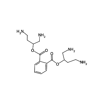 NCCC(CN)OC(=O)c1ccccc1C(=O)OC(CN)CCN